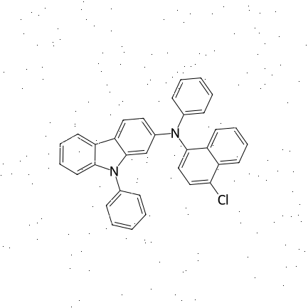 Clc1ccc(N(c2ccccc2)c2ccc3c4ccccc4n(-c4ccccc4)c3c2)c2ccccc12